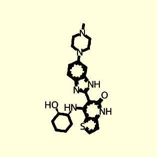 CN1CCN(c2ccc3nc(-c4c(N[C@H]5CCCC[C@H]5O)c5sccc5[nH]c4=O)[nH]c3c2)CC1